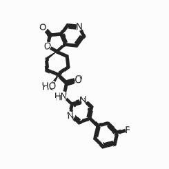 O=C1O[C@]2(CC[C@@](O)(C(=O)Nc3ncc(-c4cccc(F)c4)cn3)CC2)c2ccncc21